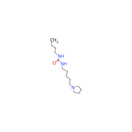 CCCCNC(=O)NCCCCCN1C[CH]CC1